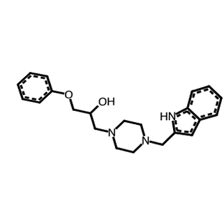 OC(COc1ccccc1)CN1CCN(Cc2cc3ccccc3[nH]2)CC1